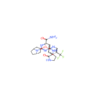 NC(=O)c1cc(NC2CCNC2=O)nc(N2C3CCC2CC(Oc2ccc(C(F)(F)F)cn2)C3)n1